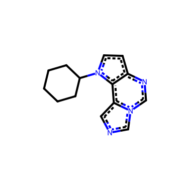 c1cn(C2CCCCC2)c2c1ncn1cncc21